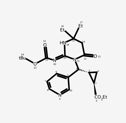 CCOC(=O)[C@@H]1C[C@H]1C(c1cccnc1)N1C(=O)CC(CC)(CC)N/C1=N\C(=O)OC(C)(C)C